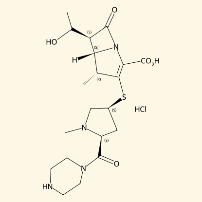 CC(O)[C@H]1C(=O)N2C(C(=O)O)=C(S[C@H]3C[C@@H](C(=O)N4CCNCC4)N(C)C3)[C@H](C)[C@H]12.Cl